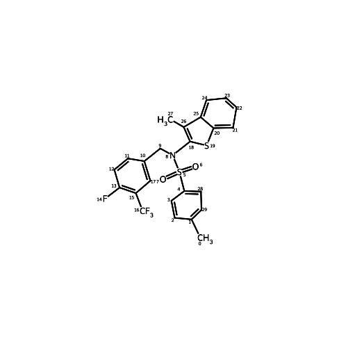 Cc1ccc(S(=O)(=O)N(Cc2ccc(F)c(C(F)(F)F)c2)c2sc3ccccc3c2C)cc1